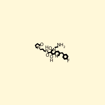 NCCn1c(=O)c(C(=O)NCCCN2CCCC2=O)c(O)c2ncc(Cc3ccc(F)cc3)cc21